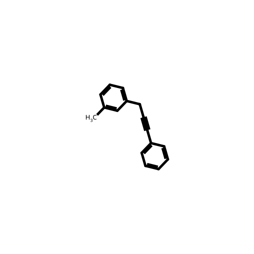 Cc1cccc(CC#Cc2ccccc2)c1